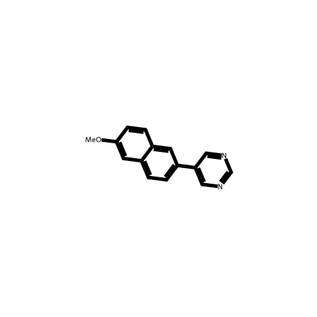 COc1ccc2cc(-c3cncnc3)ccc2c1